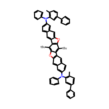 Cc1ccc(-c2ccccc2)cc1N(c1ccccc1)c1ccc2cc3c(cc2c1)oc1c(C(C)(C)C)c2c(oc4cc5cc(N(c6ccccc6)c6cc(-c7ccccc7)ccc6C)ccc5cc42)c(C(C)(C)C)c13